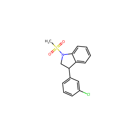 CS(=O)(=O)N1CC(c2cccc(Cl)c2)c2ccccc21